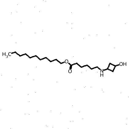 CCCCCCCCCCCOC(=O)CCCCCNC1CC(O)C1